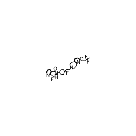 CC(F)(F)COc1ccc2c(n1)CCN(CCC1(F)CCC(NC(=O)c3cccnc3C(F)F)CC1)CC2